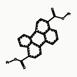 CC(C)OC(=O)c1ccc2c3cccc4c(C(=O)OC(C)C)ccc(c5cccc1c52)c43